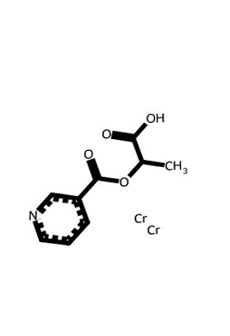 CC(OC(=O)c1cccnc1)C(=O)O.[Cr].[Cr]